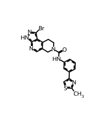 Cc1nc(-c2cccc(NC(=O)N3CCc4c(cnc5[nH]nc(Br)c45)C3)c2)cs1